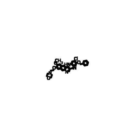 COc1cc2cc3c(Nc4ccc(OCc5ccccc5)c(Cl)c4)c(C#N)cnc3cc2cc1OCCN1CCOCC1